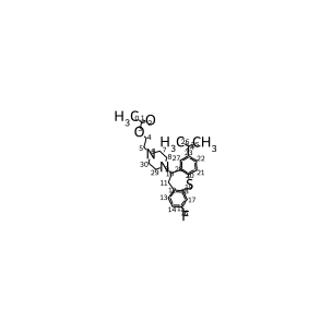 CC(=O)OCCN1CCN(C2Cc3ccc(F)cc3Sc3ccc(C(C)C)cc32)CC1